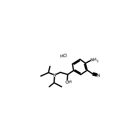 CC(C)N(CC(O)c1ccc(N)c(C#N)c1)C(C)C.Cl